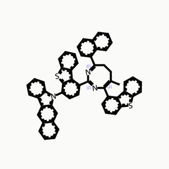 C/C1=C(c2cccc3sc4ccccc4c23)/N=C(c2ccc(-n3c4ccccc4c4cc5ccccc5cc43)c3sc4ccccc4c23)\N=C(\c2cccc3ccccc23)CC1